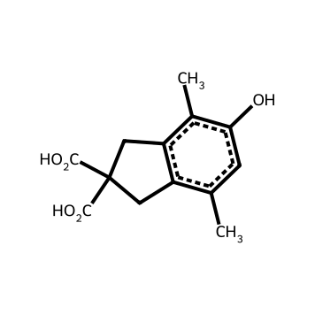 Cc1cc(O)c(C)c2c1CC(C(=O)O)(C(=O)O)C2